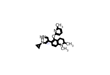 Cc1cccc(Oc2c(/C(C=N)=C/NC3CC3)ccc3c2CCC(C)N3C)n1